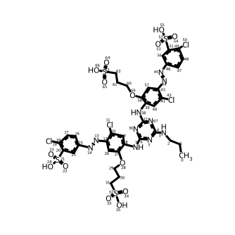 CCCNc1nc(Nc2cc(Cl)c(N=Nc3ccc(Cl)c(S(=O)(=O)O)c3)cc2OCCCS(=O)(=O)O)nc(Nc2cc(Cl)c(N=Nc3ccc(Cl)c(S(=O)(=O)O)c3)cc2OCCCS(=O)(=O)O)n1